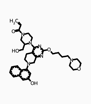 C=CC(=O)N1CCN(c2nc(OCCCCN3CCOCC3)nc3c2CCN(c2cc(O)cc4ccccc24)C3)C(CO)C1